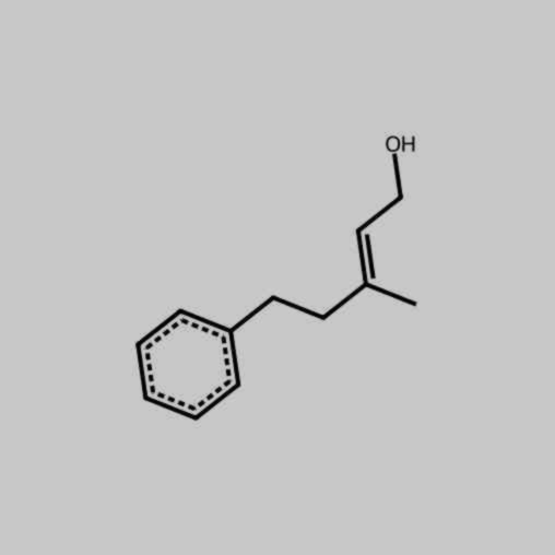 CC(=CCO)CCc1ccccc1